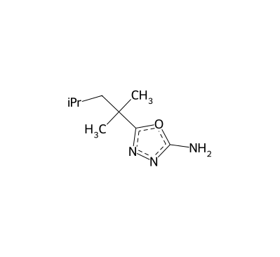 CC(C)CC(C)(C)c1nnc(N)o1